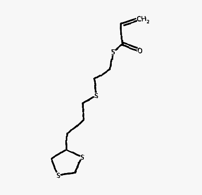 C=CC(=O)SCCSCCCC1CSCS1